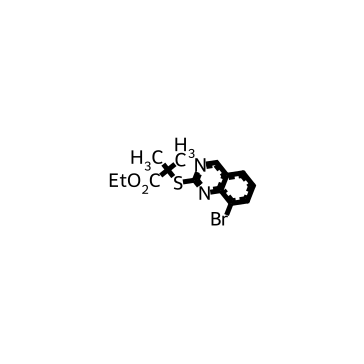 CCOC(=O)C(C)(C)Sc1ncc2cccc(Br)c2n1